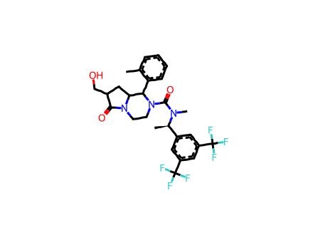 Cc1ccccc1C1C2CC(CO)C(=O)N2CCN1C(=O)N(C)[C@H](C)c1cc(C(F)(F)F)cc(C(F)(F)F)c1